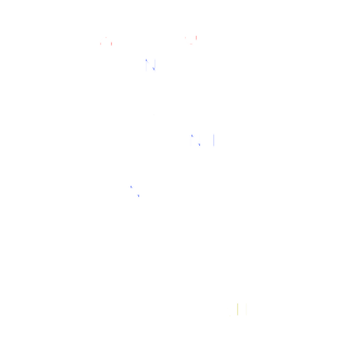 O=[N+]([O-])c1cnc(CCS)[nH]1